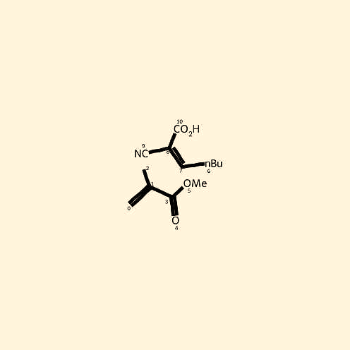 C=C(C)C(=O)OC.CCCCC=C(C#N)C(=O)O